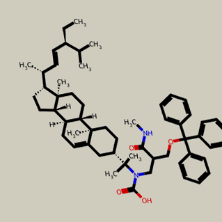 CC[C@H](/C=C/[C@@H](C)[C@H]1CC[C@H]2[C@@H]3CC=C4C[C@@H](C(C)(C)N(CC(COC(c5ccccc5)(c5ccccc5)c5ccccc5)C(=O)NC)C(=O)O)CC[C@]4(C)[C@H]3CC[C@]12C)C(C)C